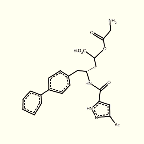 CCOC(=O)C(C[C@@H](Cc1ccc(-c2ccccc2)cc1)NC(=O)c1cc(C(C)=O)n[nH]1)OC(=O)CN